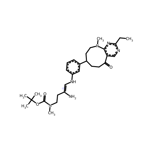 CCc1ncc2c(n1)N(C)CCC(c1cccc(N/C=C(\N)CCN(C)C(=O)OC(C)(C)C)c1)CCC2=O